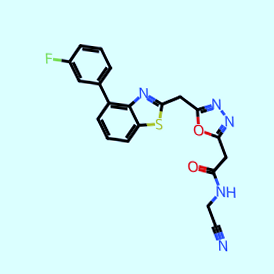 N#CCNC(=O)Cc1nnc(Cc2nc3c(-c4cccc(F)c4)cccc3s2)o1